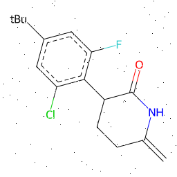 C=C1CCC(c2c(F)cc(C(C)(C)C)cc2Cl)C(=O)N1